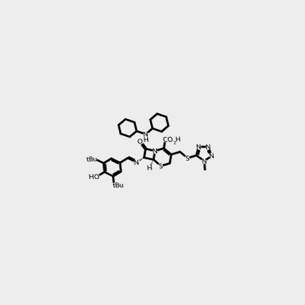 C1CCC(NC2CCCCC2)CC1.Cn1nnnc1SCC1=C(C(=O)O)N2C(=O)[C@@H](N=Cc3cc(C(C)(C)C)c(O)c(C(C)(C)C)c3)[C@@H]2SC1